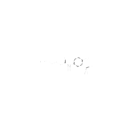 CCCCCCCCCCCCCC(=O)Nc1ccc(O)c(C(=O)CCC)c1